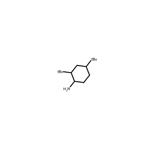 CC(C)(C)C1CCC(N)C(C(C)(C)C)C1